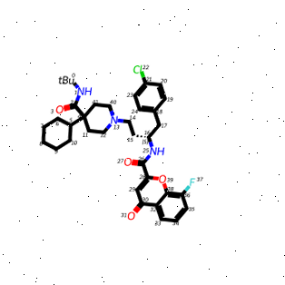 CC(C)(C)NC(=O)C1(C2CCCCC2)CCN(CC[C@H](Cc2ccc(Cl)cc2)NC(=O)c2cc(=O)c3cccc(F)c3o2)CC1